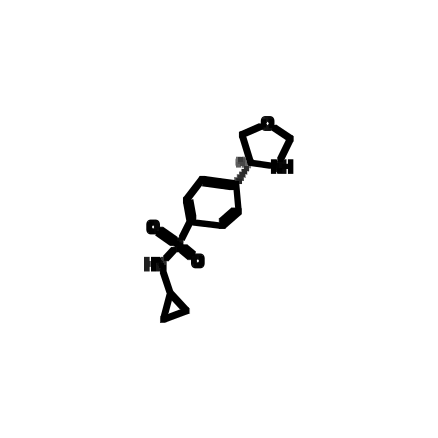 O=S(=O)(NC1CC1)c1ccc([C@@H]2COCN2)cc1